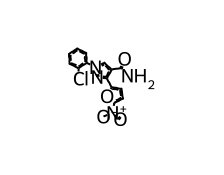 NC(=O)c1cn(-c2ccccc2Cl)nc1-c1ccc([N+](=O)[O-])o1